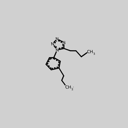 [CH2]CCc1cccc(-n2nnnc2CCCC)c1